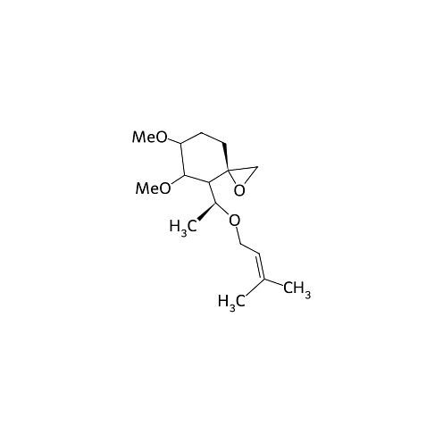 COC1CC[C@]2(CO2)C([C@H](C)OCC=C(C)C)C1OC